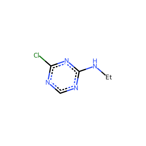 CCNc1ncnc(Cl)n1